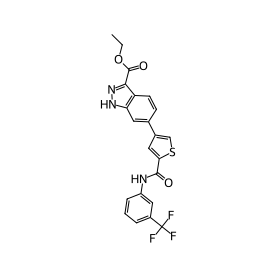 CCOC(=O)c1n[nH]c2cc(-c3csc(C(=O)Nc4cccc(C(F)(F)F)c4)c3)ccc12